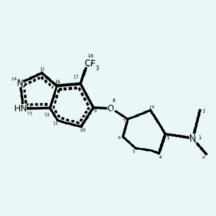 CN(C)C1CCCC(Oc2ccc3[nH]ncc3c2C(F)(F)F)C1